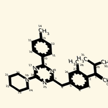 C=C(c1ccc(Cc2nc(-c3ccc(C)cc3)nc(N3CCCCC3)n2)cc1C)C(C)C